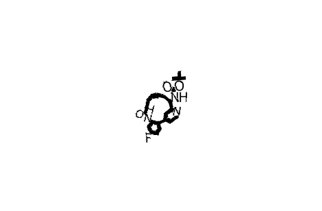 CC(C)(C)OC(=O)NC1CC=CCCC(=O)Nc2cc(F)ccc2-c2ccnc1c2